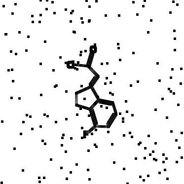 O=C(Cl)C=C1CCc2c(F)cccc21